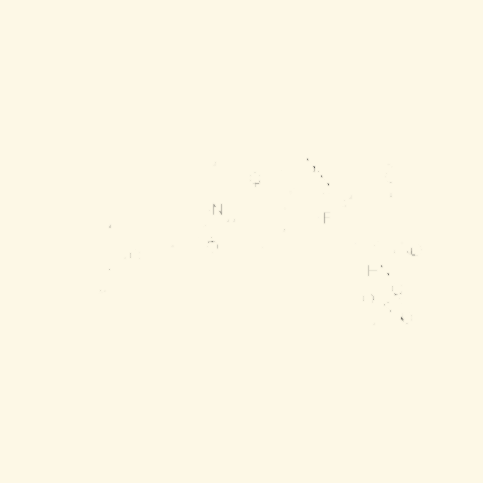 Cc1cccc(OCCCC(=O)N2CCCOc3c(-c4cnn(Cc5c(F)cc(C(=O)NOS(C)(=O)=O)cc5Cl)c4)cccc32)c1C